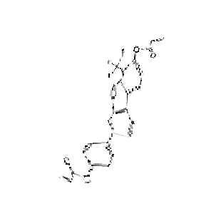 C=CC(=O)Oc1ccc(-c2ccc3c(c2)oc2c(C(F)(F)F)c(OC(=O)C=C)ccc23)cc1